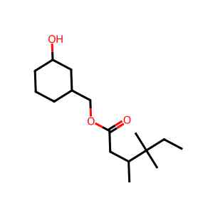 CCC(C)(C)C(C)CC(=O)OCC1CCCC(O)C1